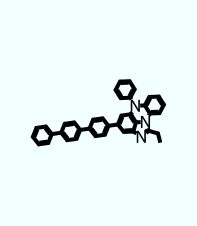 CCc1nc2cc(-c3ccc(-c4ccc(-c5ccccc5)cc4)cc3)cc3c2n1-c1ccccc1N3c1ccccc1